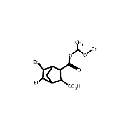 CCOC(C)OC(=O)C1C2CC(C(CC)C2CC)C1C(=O)O